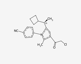 Cc1c(C(=O)CCl)cc([C@H](C)C2CCC2)n1-c1ccc(C#N)cc1